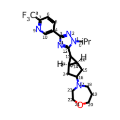 CC(C)n1nc(-c2ccc(C(F)(F)F)nc2)nc1C1[C@H]2CC(N3CCCOCC3)C[C@@H]12